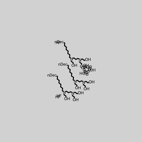 CCCCCCCCCCCCCCCCCCN(CCO)CCCN(CCO)CCO.CCCCCCCCCCCCCCCCCCN(CCO)CCCN(CCO)CCO.CCCCCCCCCCCCCCCCCCN(CCO)CCCN(CCO)CCO.F.F.F.O=P1(O)OP(=O)(O)OP(=O)(O)O1